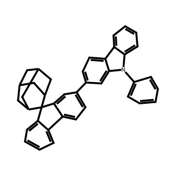 c1ccc(-n2c3ccccc3c3ccc(-c4ccc5c(c4)C4(c6ccccc6-5)C5CC6CC(C5)CC4C6)cc32)cc1